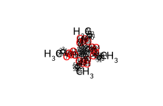 Cc1cccc(C(=O)OOC(=O)OC2CCC(C(C3CCC(OC(=O)OOC(=O)c4cccc(C)c4)CC3)(C3CCC(OC(=O)OOC(=O)c4cccc(C)c4)CC3)C3CCC(OC(=O)OOC(=O)c4cccc(C)c4)CC3)CC2)c1